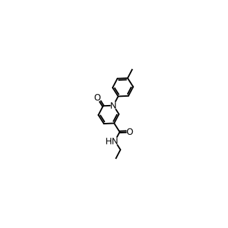 CCNC(=O)c1ccc(=O)n(-c2ccc(C)cc2)c1